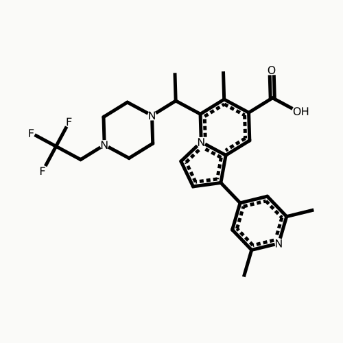 Cc1cc(-c2ccn3c(C(C)N4CCN(CC(F)(F)F)CC4)c(C)c(C(=O)O)cc23)cc(C)n1